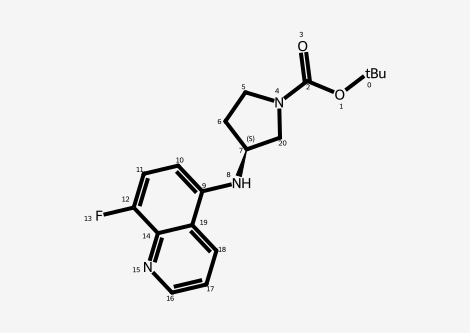 CC(C)(C)OC(=O)N1CC[C@H](Nc2ccc(F)c3ncccc23)C1